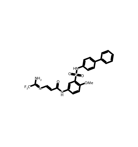 COc1ccc(NC(=O)/C=C/N=C(\N)C(F)(F)F)cc1S(=O)(=O)Nc1ccc(-c2ccccc2)cc1